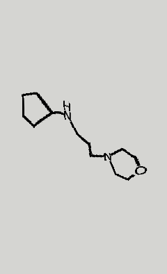 C1CCC(NCCCN2CCOCC2)C1